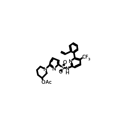 C=Cc1ccccc1-c1nc(NS(=O)(=O)c2cccc(N3CCCC(OC(C)=O)C3)n2)ccc1C(F)(F)F